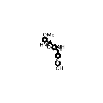 COc1ccc2c(c1)C1(CC1c1ccc3c(-c4ccc(N5CCC(O)CC5)cc4)n[nH]c3c1)C(=O)N2